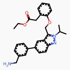 CCOC(=O)Cc1ccccc1OCc1c2cc(-c3cccc(CN)c3)ccc2nn1C(C)C